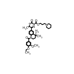 CCOc1ccc(C(=O)N2CCC(C)(C)c3cc(C4=NN(C(=O)OCCCN5CCCCC5)C(=O)SC4C)ccc32)cc1OC